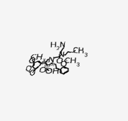 CCCCN(CCN)C(=O)CN1C[C@H](c2cc(OC)c3c(c2)OCO3)[C@@H](C(=O)O)[C@@H]1CCc1ccccc1OC